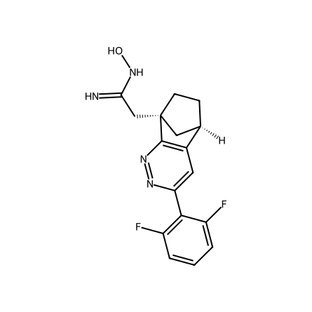 N=C(C[C@]12CC[C@H](C1)c1cc(-c3c(F)cccc3F)nnc12)NO